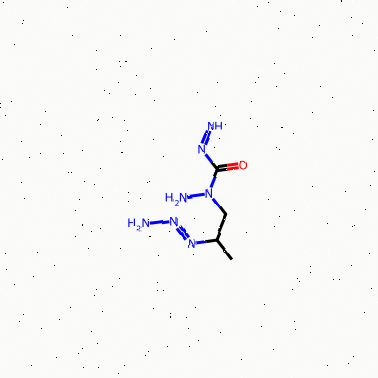 CC(CN(N)C(=O)N=N)N=NN